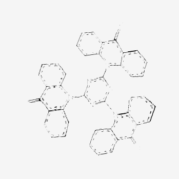 O=c1c2ccccc2n(-c2nc(-n3c4ccccc4c(=O)c4ccccc43)nc(-n3c4ccccc4c(=O)c4ccccc43)n2)c2ccccc12